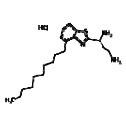 CCCCCCCCCCc1cccc2sc(C(N)CCN)nc12.Cl